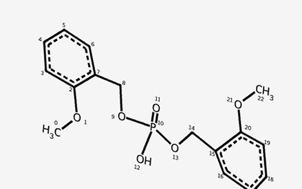 COc1ccccc1COP(=O)(O)OCc1ccccc1OC